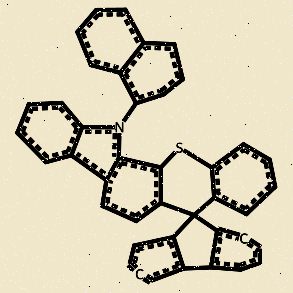 c1ccc2c(c1)Sc1c(ccc3c4ccccc4n(-c4cccc5ccccc45)c13)C21c2ccccc2-c2ccccc21